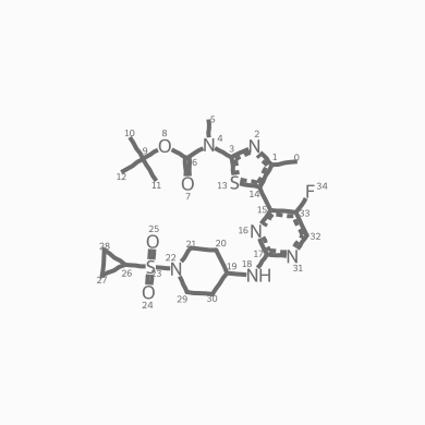 Cc1nc(N(C)C(=O)OC(C)(C)C)sc1-c1nc(NC2CCN(S(=O)(=O)C3CC3)CC2)ncc1F